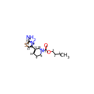 CCCCOC(=O)N1CCC=C(c2csc(N)n2)C1